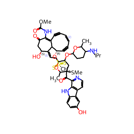 COC(=O)NC1=C2C#C/C=C\C#C[C@H](OC3OC(C)C(SC)(C(=O)c4nccc5c4[nH]c4ccc(O)cc45)CC3OC3CCC(NC(C)C)C(C)O3)C2/C(=C\CS(C)(=S)=S)[C@@H](O)CC1=O